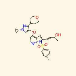 Cc1ccc(S(=O)(=O)n2c(C#C[C@H](C)O)cc3c(Oc4cn(C5CC5)nc4C4CCOCC4)ccnc32)cc1